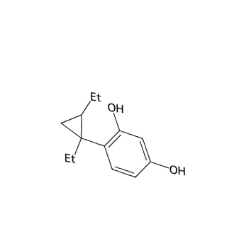 CCC1CC1(CC)c1ccc(O)cc1O